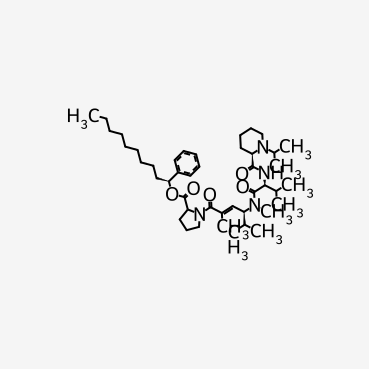 CCCCCCCCC[C@H](OC(=O)C1CCCN1C(=O)/C(C)=C/[C@H](C(C)C)N(C)C(=O)[C@@H](NC(=O)[C@H]1CCCCN1C(C)C)C(C)C)c1ccccc1